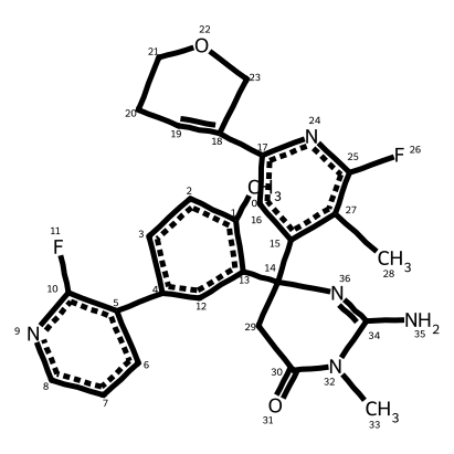 Cc1ccc(-c2cccnc2F)cc1C1(c2cc(C3=CCCOC3)nc(F)c2C)CC(=O)N(C)C(N)=N1